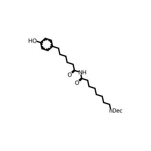 CCCCCCCCCCCCCCCCCC(=O)NC(=O)CCCCCc1ccc(O)cc1